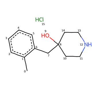 Cc1ccccc1CC1(O)CCNCC1.Cl